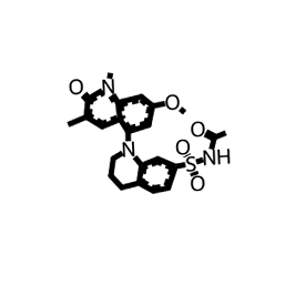 COc1cc(N2CCCc3ccc(S(=O)(=O)NC(C)=O)cc32)c2cc(C)c(=O)n(C)c2c1